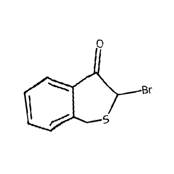 O=C1c2ccccc2SC1Br